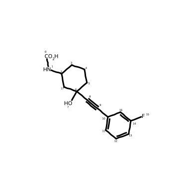 O=C(O)NC1CCCC(O)(C#Cc2cccc(F)c2)C1